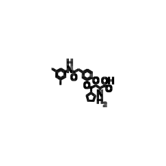 Cc1cc(C)cc(NC(=O)Cc2ccc(OC(C(=O)C3CCCC3)[C@H](N)C(=O)O)cc2)c1